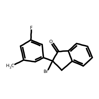 Cc1cc(F)cc(C2(Br)Cc3ccccc3C2=O)c1